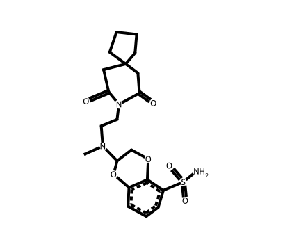 CN(CCN1C(=O)CC2(CCCC2)CC1=O)C1COc2c(cccc2S(N)(=O)=O)O1